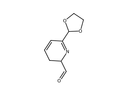 O=CC1CC=CC(C2OCCO2)=N1